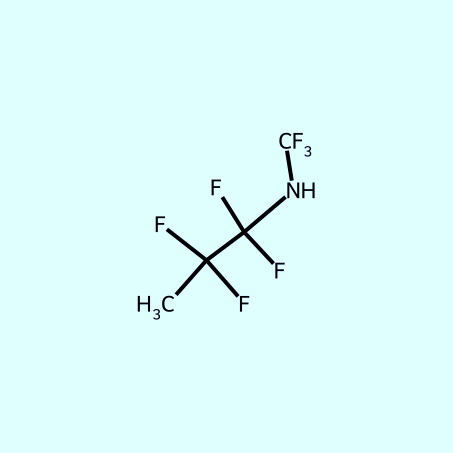 CC(F)(F)C(F)(F)NC(F)(F)F